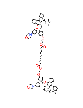 CC1(C)c2ccccc2-c2c1c1c(c3ccccc23)OC(c2ccc(OCCOC(=O)CCCCCCCCC(=O)OCCOc3ccc(C4(c5ccc(N6CCOCC6)cc5)C=Cc5c6c(c7ccccc7c5O4)-c4ccccc4C6(C)C)cc3)cc2)(c2ccc(N3CCOCC3)cc2)C=C1